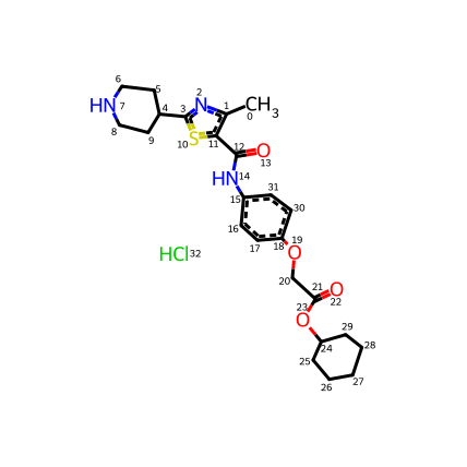 Cc1nc(C2CCNCC2)sc1C(=O)Nc1ccc(OCC(=O)OC2CCCCC2)cc1.Cl